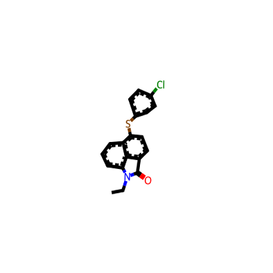 CCN1C(=O)c2ccc(Sc3ccc(Cl)cc3)c3cccc1c23